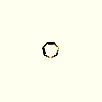 [CH]1SC=CC=CS1